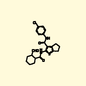 O=CC1CCCCC1C(=O)Nc1sc2c(c1C(=O)Nc1ccc(Cl)cc1)CCC2